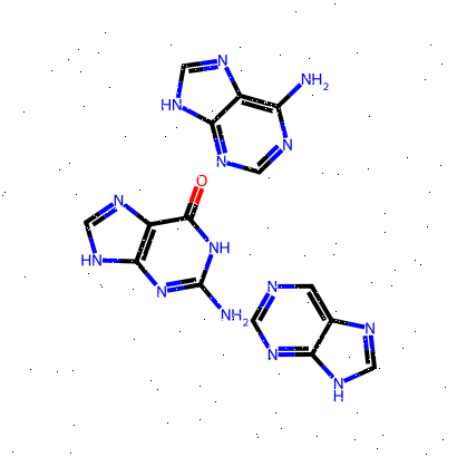 Nc1nc2[nH]cnc2c(=O)[nH]1.Nc1ncnc2[nH]cnc12.c1ncc2nc[nH]c2n1